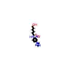 O=[N+]([O-])c1cc(-n2cncn2)ccc1NCCCCCCO